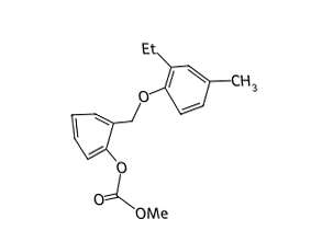 CCc1cc(C)ccc1OCc1ccccc1OC(=O)OC